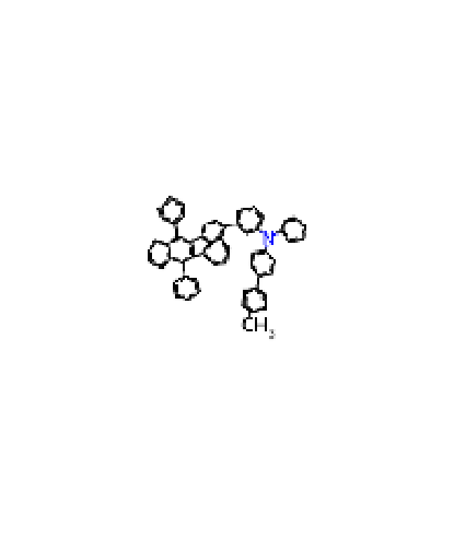 Cc1ccc(-c2ccc(N(c3ccccc3)c3cccc(-c4ccc5c6c(cccc46)-c4c-5c(-c5ccccc5)c5ccccc5c4-c4ccccc4)c3)cc2)cc1